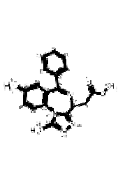 COC(=O)C[C@@H]1N=C(c2ccccc2)c2cc(C)ccc2-n2c(C)nnc21